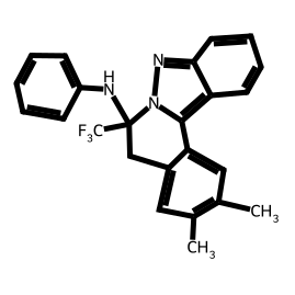 Cc1cc2c(cc1C)-c1c3ccccc3nn1C(Nc1ccccc1)(C(F)(F)F)C2